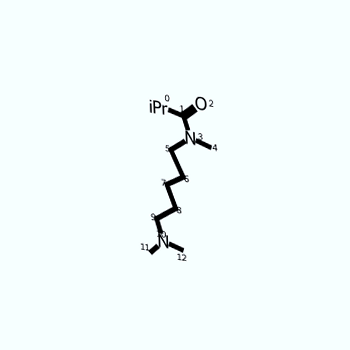 CC(C)C(=O)N(C)CCCCCN(C)C